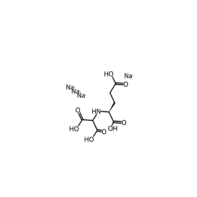 O=C(O)CC[C@H](NC(C(=O)O)C(=O)O)C(=O)O.[Na].[Na].[Na].[Na]